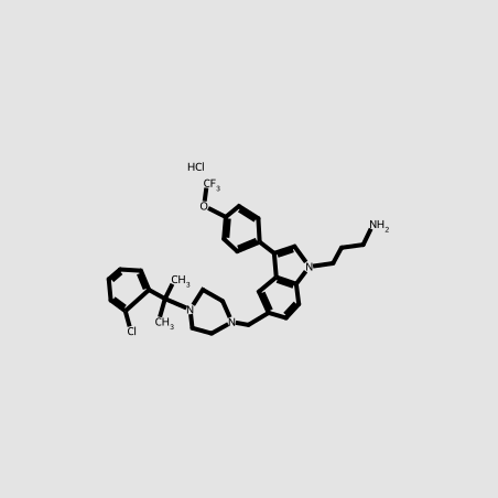 CC(C)(c1ccccc1Cl)N1CCN(Cc2ccc3c(c2)c(-c2ccc(OC(F)(F)F)cc2)cn3CCCN)CC1.Cl